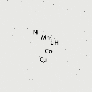 [Co].[Cu].[LiH].[Mn].[Ni]